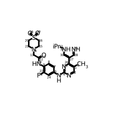 Cc1cnc(Nc2ccc(NC(=O)CN3CCS(=O)(=O)CC3)c(F)c2)nc1/C(C=N)=C/NC(C)C